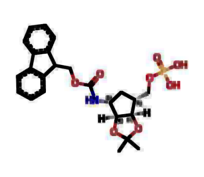 CC1(C)O[C@@H]2[C@@H](COP(=O)(O)O)C[C@@H](NC(=O)OCC3c4ccccc4-c4ccccc43)[C@@H]2O1